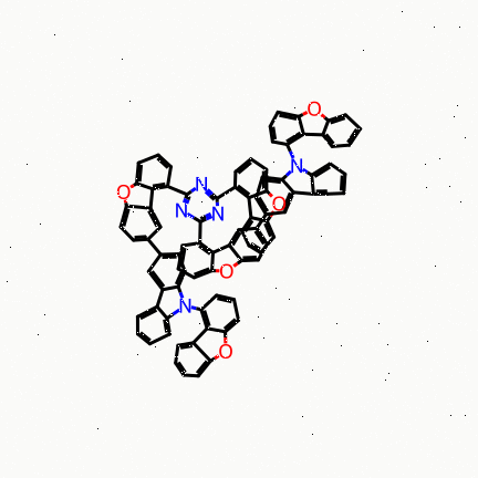 c1ccc2c(c1)oc1cccc(-c3nc(-c4cccc5oc6ccc(-c7ccc8c(c7)c7ccccc7n8-c7cccc8oc9ccccc9c78)cc6c45)nc(-c4cccc5oc6ccc(-c7ccc8c(c7)c7ccccc7n8-c7cccc8oc9ccccc9c78)cc6c45)n3)c12